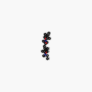 c1ccc(-c2cccc(N(c3ccccc3)c3ccc4c5c(c6ccccc6c4c3)-c3cc4ccc(-c6cccc(-c7ccccc7N(c7ccccc7)c7ccc8c9c(c%10ccccc%10c8c7)-c7cc8ccccc8cc7C97c8ccccc8-c8ccccc87)c6)cc4cc3C53c4ccccc4-c4ccccc43)c2)cc1